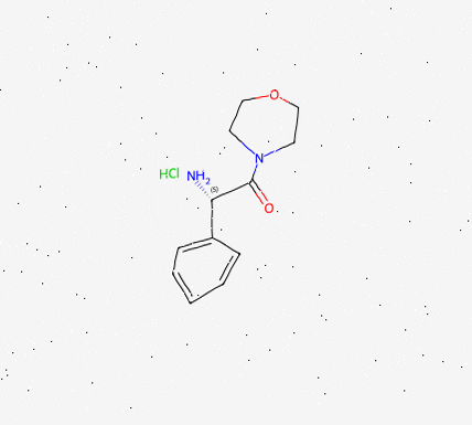 Cl.N[C@H](C(=O)N1CCOCC1)c1ccccc1